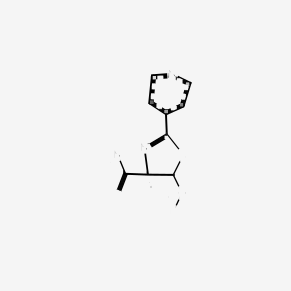 COC1SC(c2ccncc2)=N[C@]1(C)C(N)=O